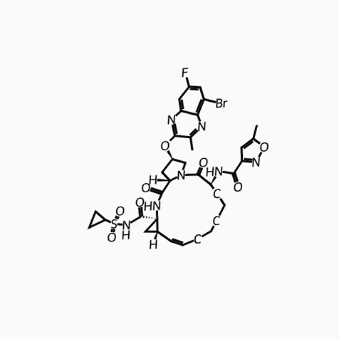 Cc1cc(C(=O)N[C@H]2CCCCCC=C[C@@H]3C[C@@]3(C(=O)NS(=O)(=O)C3CC3)NC(=O)[C@@H]3C[C@@H](Oc4nc5cc(F)cc(Br)c5nc4C)CN3C2=O)no1